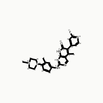 Cc1cc(Nc2ncc3c(C)c(-c4ccnc(F)c4)c(=O)[nH]c3n2)ccc1N1CCN(C)CC1